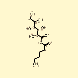 CCCCCC(=O)OC(=O)[C@H](O)[C@@H](O)[C@H](O)[C@H](O)CO